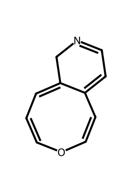 C1=NC/C2=C/C=C\O/C=C\C2=C1